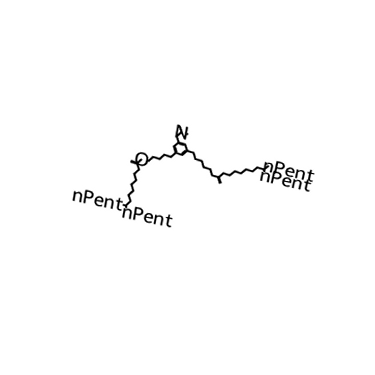 C=C(CCCCCCCC(CCCCC)CCCCC)CCCCCCc1cc(CCCCCOC(=C)CCCCCCCC(CCCCC)CCCCC)cc(CN(C)C)c1